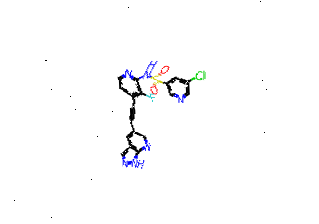 O=S(=O)(Nc1nccc(C#Cc2cnc3[nH]ncc3c2)c1F)c1cncc(Cl)c1